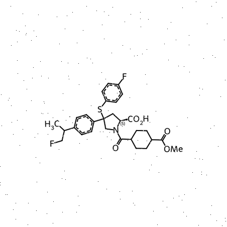 COC(=O)C1CCC(C(=O)N2CC(Sc3ccc(F)cc3)(c3ccc(C(C)CF)cc3)C[C@H]2C(=O)O)CC1